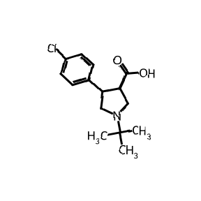 CC(C)(C)N1CC(C(=O)O)C(c2ccc(Cl)cc2)C1